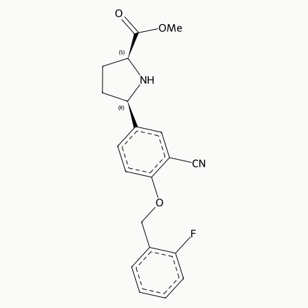 COC(=O)[C@@H]1CC[C@H](c2ccc(OCc3ccccc3F)c(C#N)c2)N1